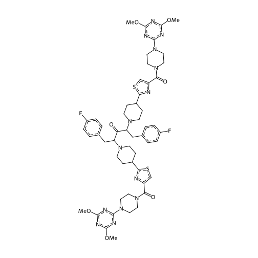 COc1nc(OC)nc(N2CCN(C(=O)c3csc(C4CCN(C(Cc5ccc(F)cc5)C(=O)C(Cc5ccc(F)cc5)N5CCC(c6nc(C(=O)N7CCN(c8nc(OC)nc(OC)n8)CC7)cs6)CC5)CC4)n3)CC2)n1